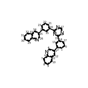 c1cc(-c2cnc3ccccc3c2)cc(-c2ncnc(-c3cccc(-c4cnc5ccccc5c4)c3)n2)c1